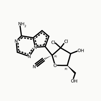 N#C[C@@]1(c2ccc3c(N)ncnn23)O[C@H](CO)C(O)C1(Cl)Cl